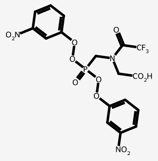 O=C(O)CN(CP(=O)(OOc1cccc([N+](=O)[O-])c1)OOc1cccc([N+](=O)[O-])c1)C(=O)C(F)(F)F